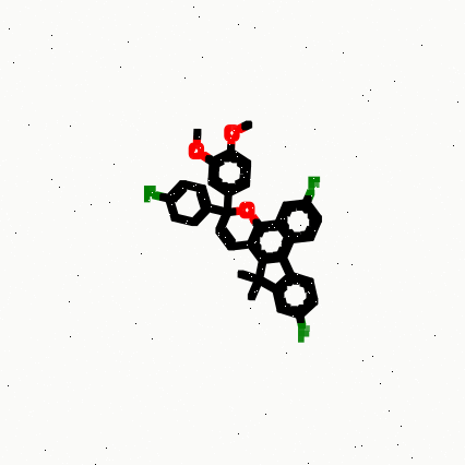 COc1ccc(C2(C3=CC=C(F)CC3)C=Cc3c4c(c5ccc(F)cc5c3O2)-c2ccc(F)cc2C4(C)C)cc1OC